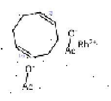 C1=C\CC/C=C\CC/1.CC(=O)[O-].CC(=O)[O-].[Rh+2]